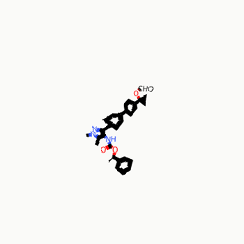 Cc1c(NC(=O)O[C@H](C)c2ccccc2)c(-c2ccc(-c3ccc(C4(OC=O)CC4)cc3)cc2)nn1C